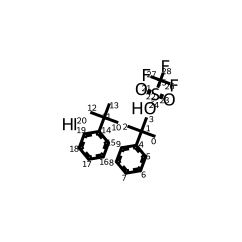 CC(C)(C)c1ccccc1.CC(C)(C)c1ccccc1.I.O=S(=O)(O)C(F)(F)F